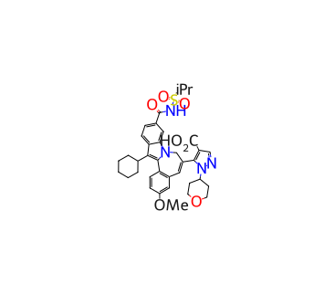 COc1ccc2c(c1)C=C(c1c(C(=O)O)cnn1C1CCOCC1)Cn1c-2c(C2CCCCC2)c2ccc(C(=O)NS(=O)(=O)C(C)C)cc21